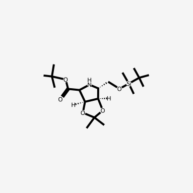 CC(C)(C)OC(=O)C1N[C@H](CO[Si](C)(C)C(C)(C)C)[C@H]2OC(C)(C)O[C@@H]12